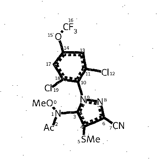 CON(C(C)=O)c1c(SC)c(C#N)nn1-c1c(Cl)cc(OC(F)(F)F)cc1Cl